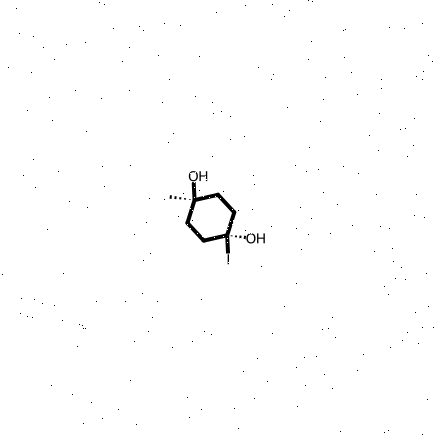 C[C@]1(O)CC[C@@](O)(I)CC1